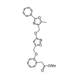 COC(=O)Cc1ccccc1OCc1cc(OCc2nc(-c3ccccc3)oc2C)no1